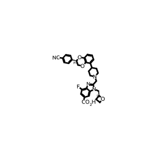 N#Cc1ccc([C@@H]2COc3c(cccc3C3CCN(Cc4nc5c(F)cc(C(=O)O)cc5n4C[C@@H]4CCO4)CC3)O2)cc1